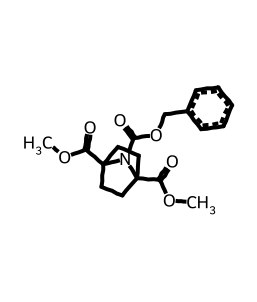 COC(=O)C12CCC(C(=O)OC)(CC1)N2C(=O)OCc1ccccc1